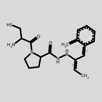 C=c1cccc/c1=C/C(BNC(=O)C1CCCN1C(=O)C(N)CS)=C\C